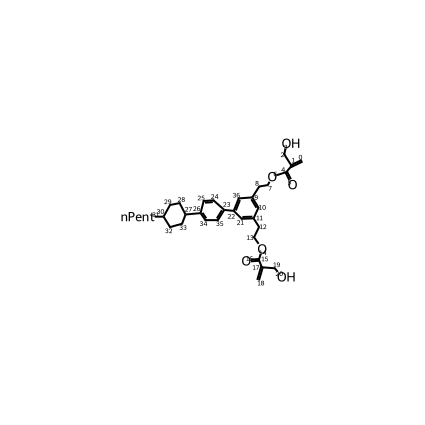 C=C(CO)C(=O)OCCc1cc(CCOC(=O)C(=C)CO)cc(-c2ccc(C3CCC(CCCCC)CC3)cc2)c1